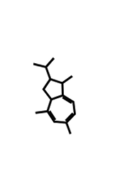 CC1=CC=C2C(CC(C(C)C)C2C)C(C)=C1